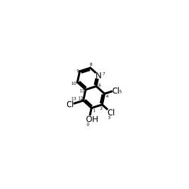 Oc1c(Cl)c(Cl)c2ncccc2c1Cl